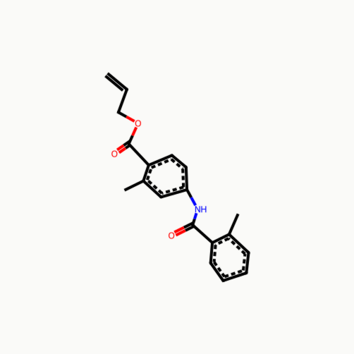 C=CCOC(=O)c1ccc(NC(=O)c2ccccc2C)cc1C